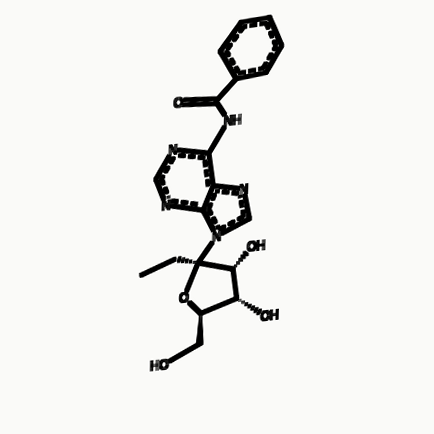 CC[C@@]1(n2cnc3c(NC(=O)c4ccccc4)ncnc32)O[C@H](CO)[C@@H](O)[C@H]1O